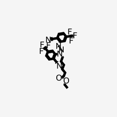 CCOC(=O)CCCCCN(N=Nc1cc(C(F)(F)F)ccc1C#N)c1cc(C(F)(F)F)ccc1C#N